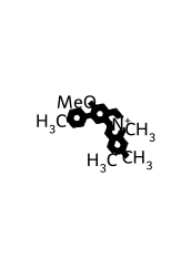 COc1cc2cc[n+]3c(C)c4cc(C)c(C)cc4cc3c2cc1-c1ccc(C)cc1